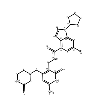 Cc1cc(CN2CCNC(=O)C2)c(CNC(=O)c2cc(Br)cc3c2cnn3C2CCCC2)c(=O)[nH]1